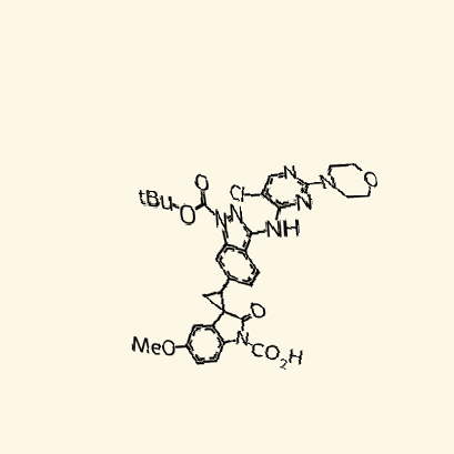 COc1ccc2c(c1)C1(CC1c1ccc3c(Nc4nc(N5CCOCC5)ncc4Cl)nn(C(=O)OC(C)(C)C)c3c1)C(=O)N2C(=O)O